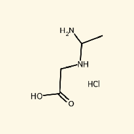 CC(N)NCC(=O)O.Cl